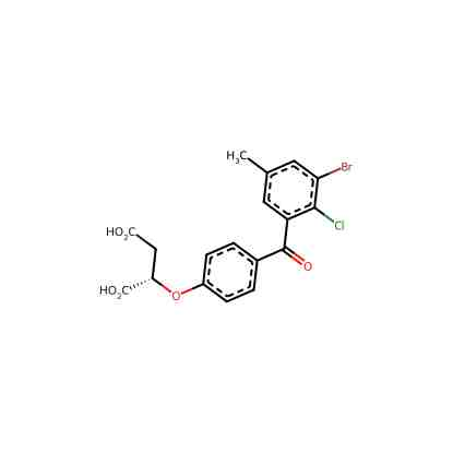 Cc1cc(Br)c(Cl)c(C(=O)c2ccc(O[C@@H](CC(=O)O)C(=O)O)cc2)c1